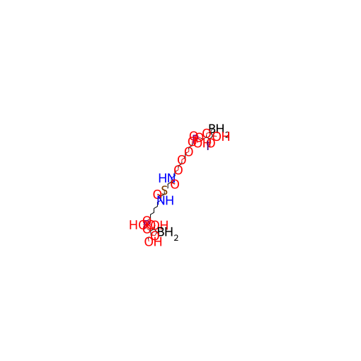 B[C@@H]1O[C@H](COP(=O)(O)OCCOCCOCCOCCNC(=O)CCSCC(=O)NCCCCCCOP(=O)(O)OC2C(O)[C@H](B)O[C@@H]2CO)C(OI)C1O